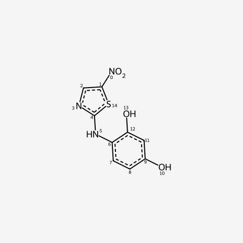 O=[N+]([O-])c1cnc(Nc2ccc(O)cc2O)s1